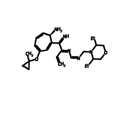 C=C/C(=N\C=N/CN1C(CC)COCC1CC)C(=N)C1=CC(OC2(C)CC2)=CC=C[C@H]1N